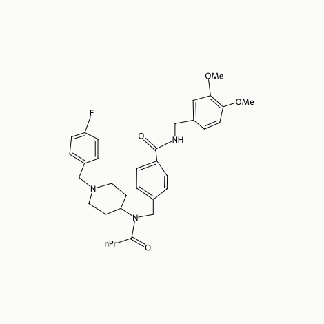 CCCC(=O)N(Cc1ccc(C(=O)NCc2ccc(OC)c(OC)c2)cc1)C1CCN(Cc2ccc(F)cc2)CC1